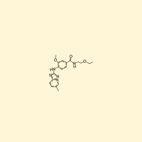 CCOCCNC(=O)c1ccc(Nc2nc3ccc(C)cn3n2)c(OC)c1